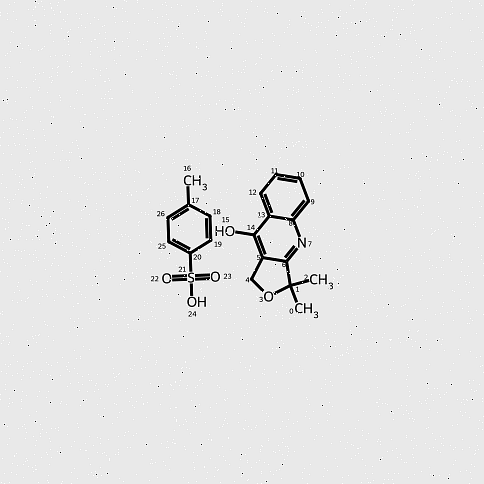 CC1(C)OCc2c1nc1ccccc1c2O.Cc1ccc(S(=O)(=O)O)cc1